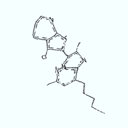 CCCCCc1cc(C)nn2c(-c3sc4ncccc4c3Cl)c(C)nc12